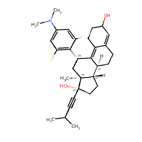 CC(C)C#C[C@]1(O)CC[C@H]2[C@@H]3CCC4=CC(O)CCC4=C3[C@@H](c3c(F)cc(N(C)C)cc3F)C[C@@]21C